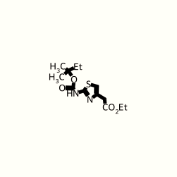 CCOC(=O)Cc1csc(NC(=O)OC(C)(C)CC)n1